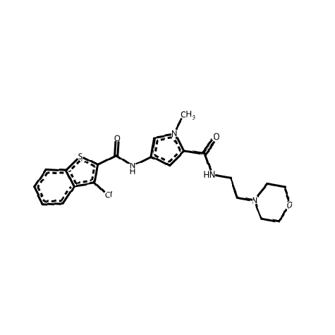 Cn1cc(NC(=O)c2sc3ccccc3c2Cl)cc1C(=O)NCCN1CCOCC1